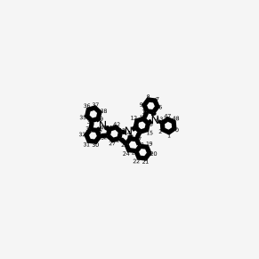 c1ccc(-n2c3ccccc3c3cc4c(cc32)c2c3ccccc3cc3c5cc6c7cccc8c9ccccc9n(c6cc5n4c32)c87)cc1